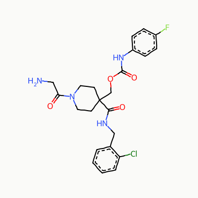 NCC(=O)N1CCC(COC(=O)Nc2ccc(F)cc2)(C(=O)NCc2ccccc2Cl)CC1